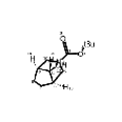 CC(C)(C)OC(=O)N1C[C@H]2CC[C@@H](C1)[C@@H]2O